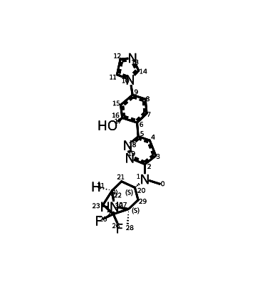 CN(c1ccc(-c2ccc(-n3ccnc3)cc2O)nn1)[C@H]1C[C@@H]2CC(F)(F)[C@](C)(C1)N2